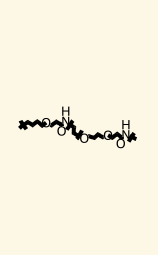 CC(C)(C)CCCCOCCC(=O)NC(C)(C)CCC(C)(C)OCCCCOCCC(=O)NC(C)(C)C